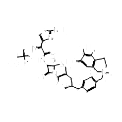 CC(CC1=C(C(=O)O)N2C(=O)[C@@H](NC(=O)/C(=N\OC(C)(C)C(=O)O)c3csc(N)n3)[C@H]2SC1)Cc1ccc(C[N+]2(C)CCc3c(cc(O)c(O)c3Cl)C2)cc1